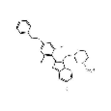 O=C(O)N1CCO[C@@H](Cc2c(-c3c(F)cc(SCc4ccccc4)cc3F)nc3cc(Cl)ccn23)C1